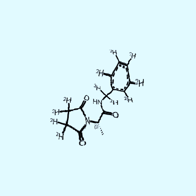 [2H]c1c([2H])c([2H])c(C([2H])([2H])NC(=O)[C@H](C)N2C(=O)C([2H])([2H])C([2H])([2H])C2=O)c([2H])c1[2H]